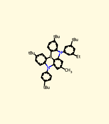 CCc1cc(N2c3cc(C(C)(C)C)ccc3B3c4cc(C(C)(C)C)ccc4N(c4ccc(C(C)(C)C)cc4)c4cc(C)cc2c43)cc(C(C)(C)C)c1